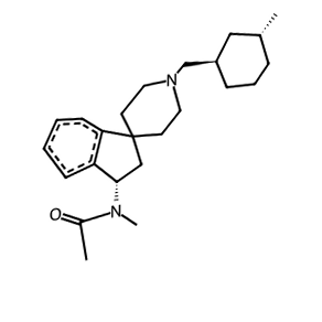 CC(=O)N(C)[C@H]1CC2(CCN(C[C@@H]3CCC[C@@H](C)C3)CC2)c2ccccc21